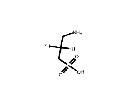 [2H]C([2H])(CN)CS(=O)(=O)O